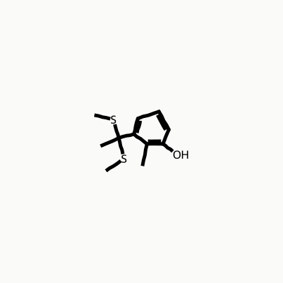 CSC(C)(SC)c1cccc(O)c1C